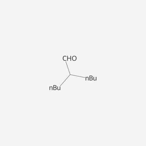 CCCCC(C=O)CCCC